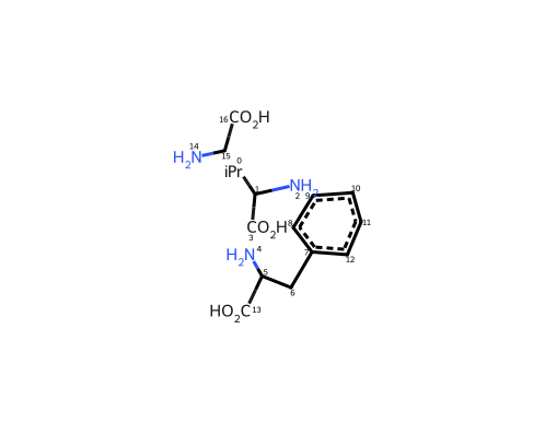 CC(C)C(N)C(=O)O.NC(Cc1ccccc1)C(=O)O.NCC(=O)O